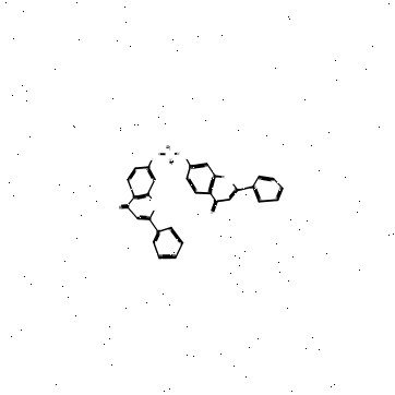 O=c1cc(-c2ccccc2)oc2cc(OS(=O)(=O)Oc3ccc4c(=O)cc(-c5ccccc5)oc4c3)ccc12